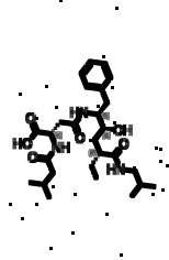 CC[C@H](C[C@H](O)[C@H](Cc1ccccc1)NC(=O)C[C@H](NC(=O)CC(C)C)C(=O)O)C(=O)NCC(C)C